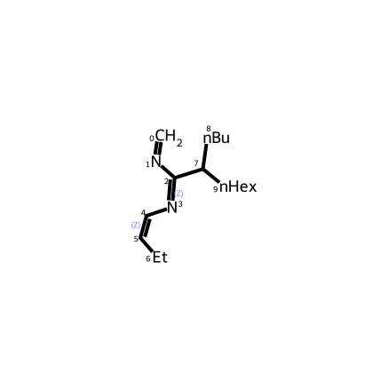 C=N/C(=N\C=C/CC)C(CCCC)CCCCCC